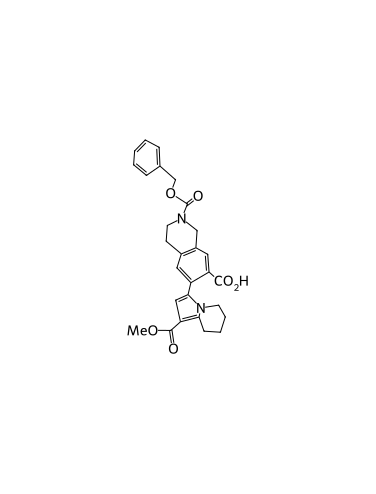 COC(=O)c1cc(-c2cc3c(cc2C(=O)O)CN(C(=O)OCc2ccccc2)CC3)n2c1CCCC2